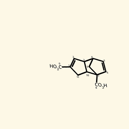 O=C(O)C1=CC2C3C=CC(C(=O)O)(C3)C2C1